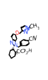 Cn1ccc(COc2ccc3nc([C@H]4CCCC[C@@H]4C(=O)O)n(Cc4ccc(C#N)cc4)c3c2)n1